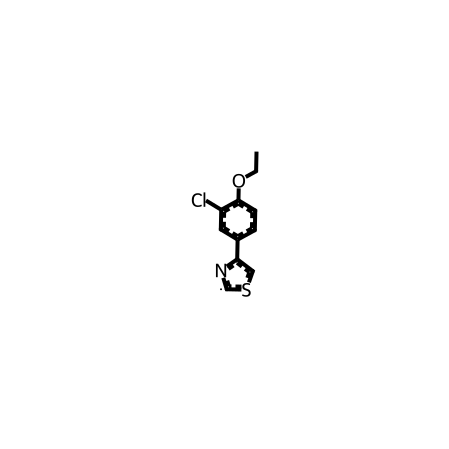 CCOc1ccc(-c2cs[c]n2)cc1Cl